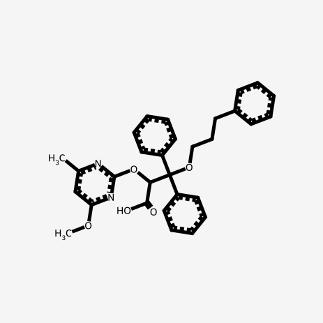 COc1cc(C)nc(OC(C(=O)O)C(OCCCc2ccccc2)(c2ccccc2)c2ccccc2)n1